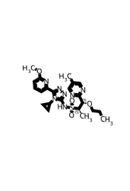 CCCO[C@@H](c1ncc(C)cn1)[C@H](C)S(=O)(=O)Nc1nnc(-c2cccc(OC)n2)n1C1CC1